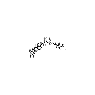 CC(=O)NC(=O)NCCOCCC(C)NC(=O)N1CC[C@H]2c3ccc(C(F)(C(F)(F)F)C(F)(F)F)cc3CCC21